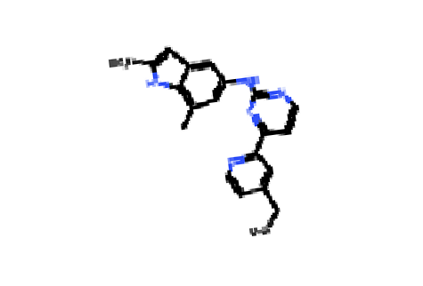 COCc1ccnc(-c2ccnc(Nc3cc(C)c4[nH]c(C(=O)O)cc4c3)n2)c1